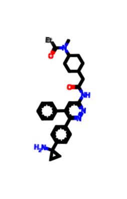 CCC(=O)N(C)C1CCC(CC(=O)Nc2cc(-c3ccccc3)c(-c3ccc(C4(N)CC4)cc3)nn2)CC1